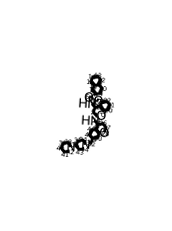 O=C(CC(NS(=O)(=O)c1ccc2ccccc2c1)c1ccccc1)NC1CCOc2cc(CN3CCC(N4CCCCC4)CC3)ccc21